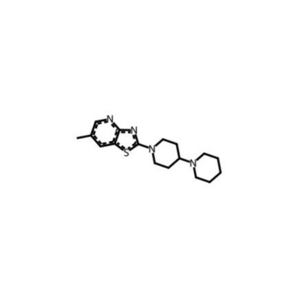 Cc1cnc2nc(N3CCC(N4CCCCC4)CC3)sc2c1